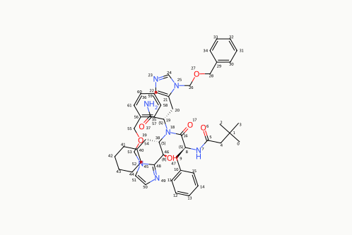 CC(C)(C)CC(=O)N[C@@H](Cc1ccccc1)C(=O)N([C@@H](Cc1cncn1COCc1ccccc1)C(N)=O)[C@@H](CC1CCCCC1)[C@@H](O)c1nccn1COCc1ccccc1